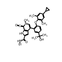 CCNC(=O)c1cc2c([nH]1)C(=C=O)N(C)C=C2c1cc(C(C)(C)O)ccc1Oc1c(C)cc(C2CC2)cc1C